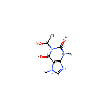 CCC(O)n1c(=O)c2c(ncn2C)n(C)c1=O